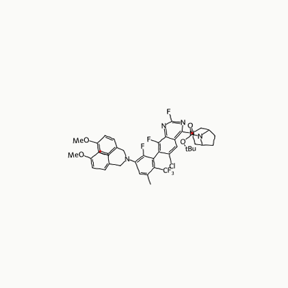 COc1ccc(CN(Cc2ccc(OC)cc2)c2cc(C)c(C(F)(F)F)c(-c3c(Cl)cc4c(N5CC6CCC(C5)N6C(=O)OC(C)(C)C)nc(F)nc4c3F)c2F)cc1